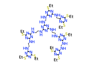 CCSc1nc(NCCNc2nc(NCCNc3nc(NCNc4nc(SCC)nc(SCC)n4)nc(SCC)n3)nc(NCNc3nc(NCc4nc(SCC)nc(SCC)n4)nc(SCC)n3)n2)nc(NCCNc2nc(SCC)nc(SCC)n2)n1